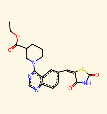 CCOC(=O)C1CCCN(c2ncnc3ccc(C=C4SC(=O)NC4=O)cc23)C1